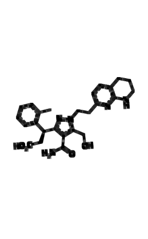 Cc1ccccc1[C@H](CC(=O)O)c1nn(CCc2ccc3c(n2)NCCC3)c(CO)c1C(N)=O